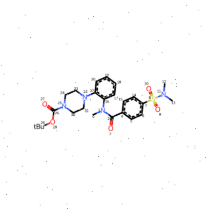 CN(C(=O)c1ccc(S(=O)(=O)N(C)C)cc1)c1ccccc1N1CCN(C(=O)OC(C)(C)C)CC1